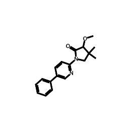 COC1C(=O)N(c2ccc(-c3ccccc3)cn2)CC1(C)C